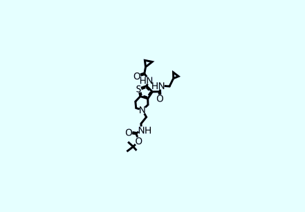 CC(C)(C)OC(=O)NCCN1CCc2sc(NC(=O)C3CC3)c(C(=O)NCC3CC3)c2C1